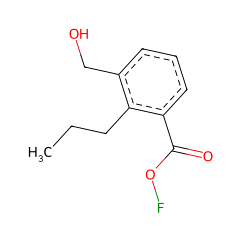 CCCc1c(CO)cccc1C(=O)OF